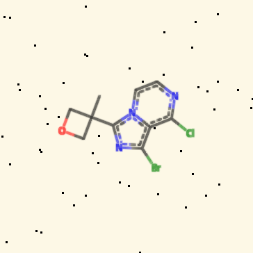 CC1(c2nc(Br)c3c(Cl)nccn23)COC1